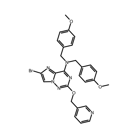 COc1ccc(CN(Cc2ccc(OC)cc2)c2nc(OCc3cccnc3)nn3cc(Br)nc23)cc1